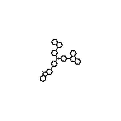 c1cc(-c2cccc3ccccc23)cc(N(c2ccc(-c3ccc4c(c3)sc3ccccc34)cc2)c2ccc(-c3cc4ccccc4c4ccccc34)cc2)c1